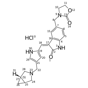 Cl.O=C1Nc2ccc(CN3CCOC3=O)cc2C1=Cc1cc(CN2CC3C[C@@H]3C2)c[nH]1